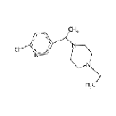 CCN1CCN(C(C)c2ccc(Cl)nc2)CC1